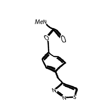 CNC(=O)Oc1ccc(-c2csnn2)cc1